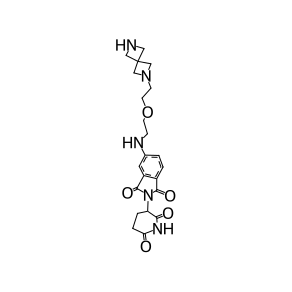 O=C1CCC(N2C(=O)c3ccc(NCCOCCN4CC5(CNC5)C4)cc3C2=O)C(=O)N1